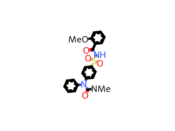 CNC(=O)N(c1ccccc1)c1ccc(S(=O)(=O)NC(=O)c2ccccc2OC)cc1